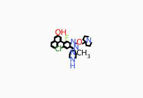 CC12CCC(CNC1)N2c1nc(OCC23CCCN2CCC3)nc2c(F)c(-c3cc(O)cc4ccccc34)c(Cl)cc12